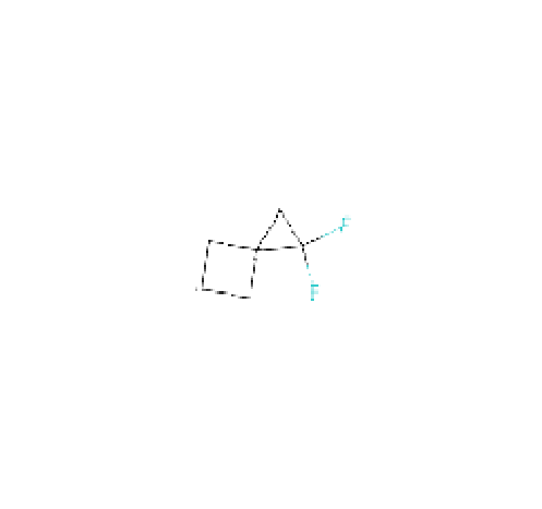 FC1(F)CC12C[CH]C2